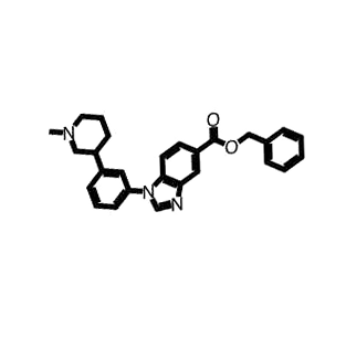 CN1CCCC(c2cccc(-n3cnc4cc(C(=O)OCc5ccccc5)ccc43)c2)C1